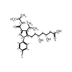 CC(C)NC(=O)c1nn(-c2ccc(F)cc2)c(CC[C@@H](O)C[C@@H](O)CC(=O)O)c1C(C)C